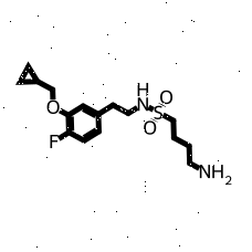 NCCCCS(=O)(=O)NCCc1ccc(F)c(OCC2CC2)c1